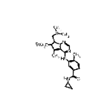 CCOC(=O)C1C(C)=C2C(Nc3cc(C(=O)NC4CC4)ccc3C)=NC=NN2C1CN(C)C